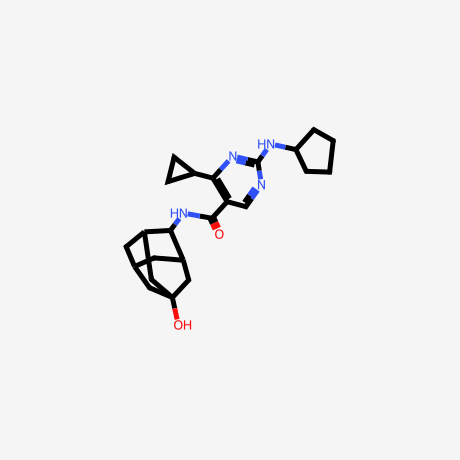 O=C(NC1C2CC3CC1CC(O)(C3)C2)c1cnc(NC2CCCC2)nc1C1CC1